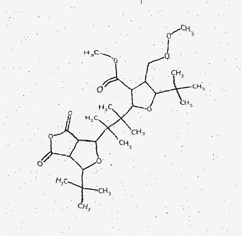 COOCC1C(C(=O)OC)C(C(C)(C)C(C)(C)C2OC(C(C)(C)C)C3C(=O)OC(=O)C32)OC1C(C)(C)C